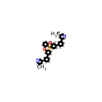 Cc1cncc(-c2cccc(-c3ccc4c(c3)Oc3cccc5c3P4(=S)c3ccc(-c4cccc(-c6cncc(C)c6)c4)cc3O5)c2)c1